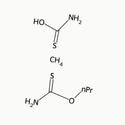 C.CCCOC(N)=S.NC(O)=S